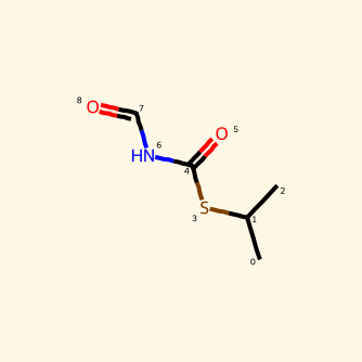 CC(C)SC(=O)NC=O